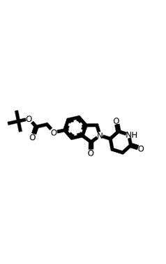 CC(C)(C)OC(=O)COc1ccc2c(c1)C(=O)N(C1CCC(=O)NC1=O)C2